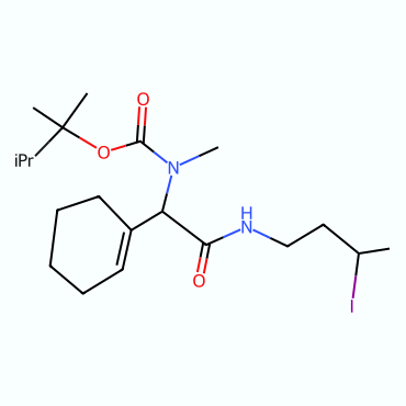 CC(I)CCNC(=O)C(C1=CCCCC1)N(C)C(=O)OC(C)(C)C(C)C